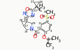 C[C@H](Oc1ccc(S(C)(=O)=O)cc1C(=O)N1CC2CC2(c2noc(C3(C)CC3)n2)C1)C(F)(F)F